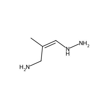 C/C(=C/NN)CN